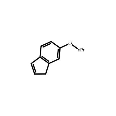 CCCOc1ccc2c(c1)[CH]C=C2